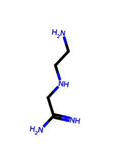 N=C(N)CNCCN